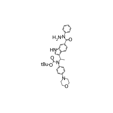 CC(c1c[nH]c2cc(C(=O)N(N)c3ccccc3)ccc12)N(C(=O)OC(C)(C)C)c1ccc(N2CCOCC2)cc1